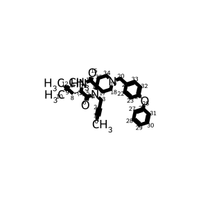 CC#CCN1C(=O)[C@H](CC(C)(C)C)NC(=O)C12CCN(Cc1ccc(Oc3ccccc3)cc1)CC2